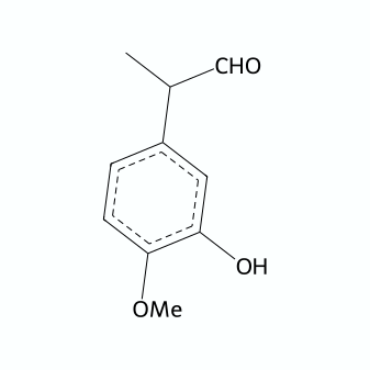 COc1ccc(C(C)C=O)cc1O